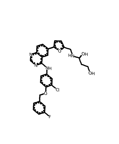 OCCC(O)NCc1ccc(-c2ccc3ncnc(Nc4ccc(OCc5cccc(F)c5)c(Cl)c4)c3c2)o1